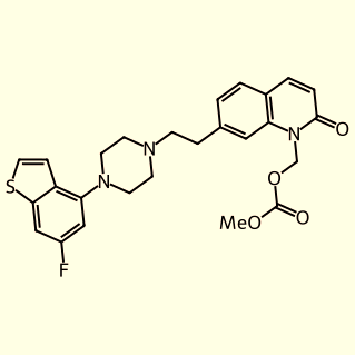 COC(=O)OCn1c(=O)ccc2ccc(CCN3CCN(c4cc(F)cc5sccc45)CC3)cc21